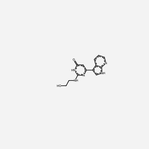 O=c1cc(-c2c[nH]c3ncccc23)nc(NCCO)[nH]1